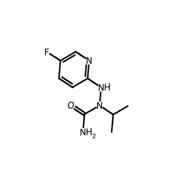 CC(C)N(Nc1ccc(F)cn1)C(N)=O